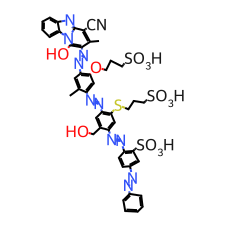 Cc1cc(N=Nc2c(C)c(C#N)c3nc4ccccc4n3c2O)c(OCCCS(=O)(=O)O)cc1N=Nc1cc(CO)c(N=Nc2ccc(N=Nc3ccccc3)cc2S(=O)(=O)O)cc1SCCCS(=O)(=O)O